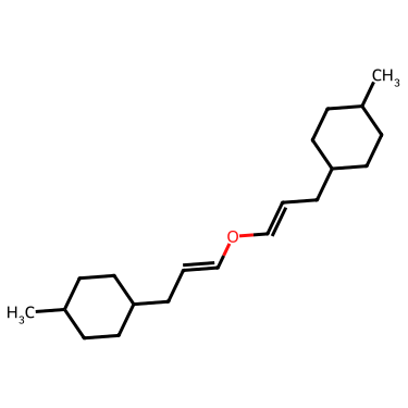 CC1CCC(CC=COC=CCC2CCC(C)CC2)CC1